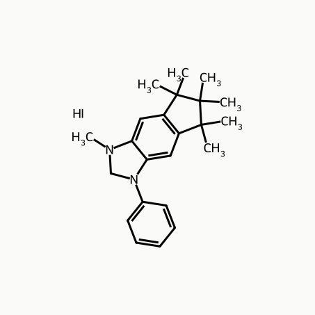 CN1CN(c2ccccc2)c2cc3c(cc21)C(C)(C)C(C)(C)C3(C)C.I